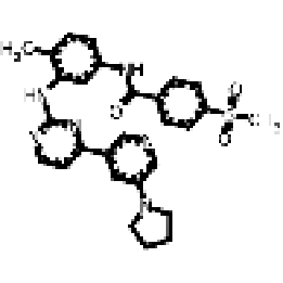 Cc1ccc(NC(=O)c2ccc(S(C)(=O)=O)cc2)cc1Nc1nccc(-c2cncc(N3CCCC3)c2)n1